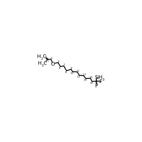 C=C(C)COCCCCCCCCCCCCC(F)(F)[SiH3]